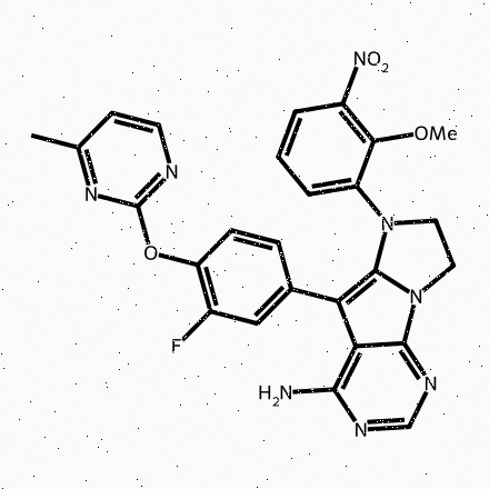 COc1c(N2CCn3c2c(-c2ccc(Oc4nccc(C)n4)c(F)c2)c2c(N)ncnc23)cccc1[N+](=O)[O-]